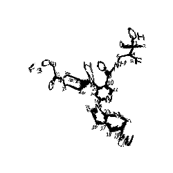 CC(C)(O)C(F)CNC(=O)c1cnc(-n2ccc3cc(C#N)cnc32)cc1NC1CCN(C(=O)CC(F)(F)F)C1